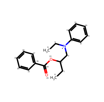 CCC(CN(CC)c1ccccc1)OC(=O)c1ccccc1